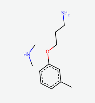 CNC.Cc1cccc(OCCCN)c1